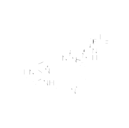 C[C@H](NC(=O)/C1=N/C(OC[C@@H]2C[C@@H]2C#N)=N\C(N2CCC(c3ccc(N)c(C(N)=O)n3)CC2)=C/CC1)C(F)(F)F